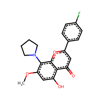 COc1cc(O)c2c(=O)cc(-c3ccc(F)cc3)oc2c1N1CCCC1